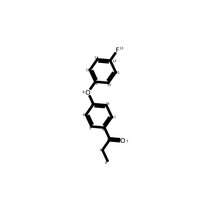 CCC(=O)c1ccc(Oc2ccc(F)cc2)cc1